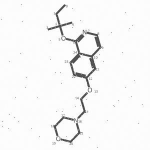 CCC(C)(C)Oc1nccc2cc(OCCN3CCOCC3)ccc12